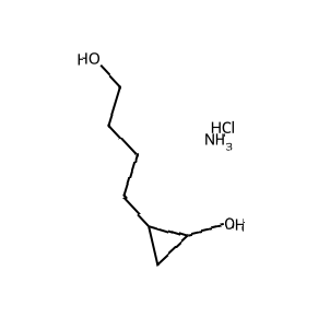 Cl.N.OCCCCC1CC1O